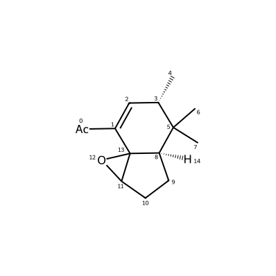 CC(=O)C1=C[C@H](C)C(C)(C)[C@H]2CCC3OC132